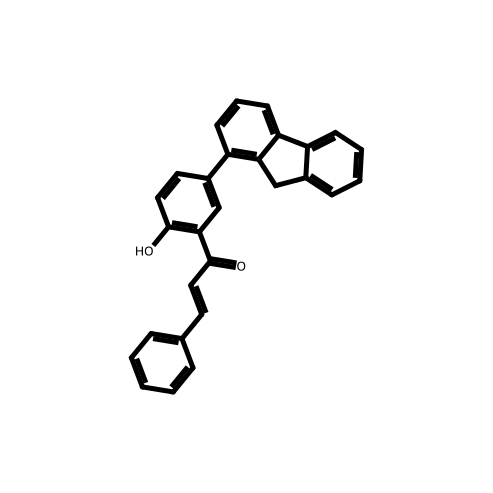 O=C(C=Cc1ccccc1)c1cc(-c2cccc3c2Cc2ccccc2-3)ccc1O